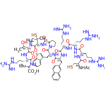 CC(=O)N[C@@H](CS)C(=O)N[C@H](CCCNC(=N)N)C(=O)N[C@@H](CCCNC(=N)N)C(=O)N[C@@H](CCCNC(=N)N)C(=O)N[C@@H](Cc1ccc2ccccc2c1)C(=O)N[C@@H](Cc1csc2ccccc12)C(=O)N1CCC[C@H]1C(=O)N[C@H](C(=O)N[C@H](C(=O)N[C@@H](CCCNC(=N)N)C(=O)N[C@H](C(=O)O)C(C)(C)C)[C@@H](C)O)C(C)(C)S